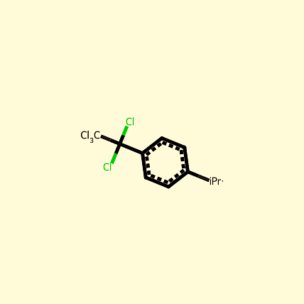 C[C](C)c1ccc(C(Cl)(Cl)C(Cl)(Cl)Cl)cc1